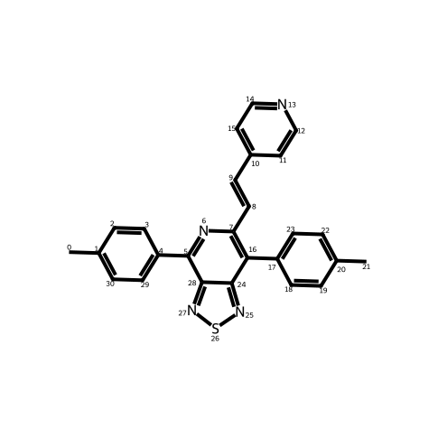 Cc1ccc(-c2nc(/C=C/c3ccncc3)c(-c3ccc(C)cc3)c3nsnc23)cc1